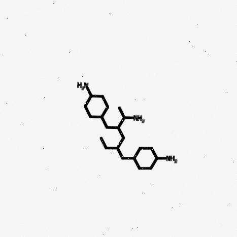 CCC(CC1CCC(N)CC1)CC(CC1CCC(N)CC1)C(C)N